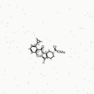 COC(=O)[C@@H]1CCc2c(I)nn(C(=O)c3c(Cl)cccc3C3CC3)c2C1